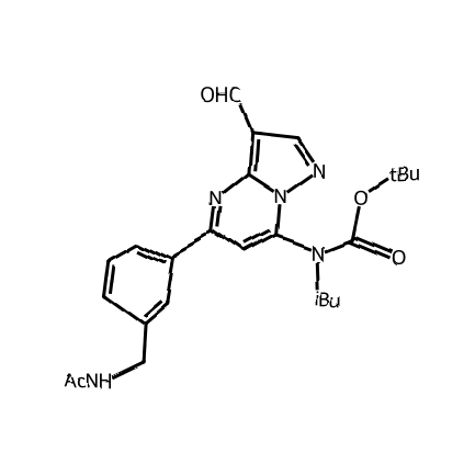 CCC(C)N(C(=O)OC(C)(C)C)c1cc(-c2cccc(CNC(C)=O)c2)nc2c(C=O)cnn12